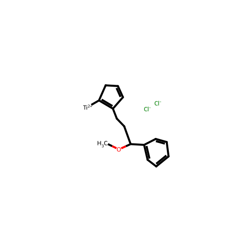 COC(CCC1=[C]([Ti+2])CC=C1)c1ccccc1.[Cl-].[Cl-]